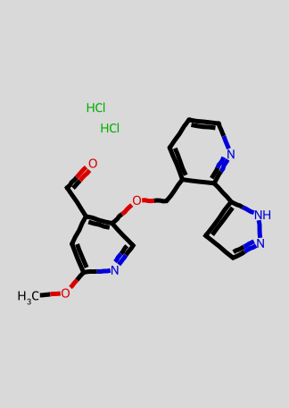 COc1cc(C=O)c(OCc2cccnc2-c2ccn[nH]2)cn1.Cl.Cl